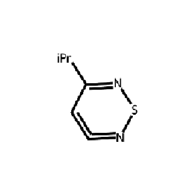 CC(C)C1=NSN=C=C1